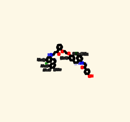 COc1cc(N/C=C\C(=O)c2ccc(O)cc2)c(/C=C\c2cc(OC)c(OCCOc3ccccc3C(=O)CCNc3cc(OC)c(F)cc3/C=C\c3cc(OC)c(OC)c(OC)c3)c(OC)c2)cc1F